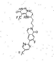 N#CC[C@@H](CCCn1ccc2cc(-c3ncc(C(F)(F)F)cn3)c(F)cc2c1=O)Nc1cn[nH]c(=O)c1C(F)(F)F